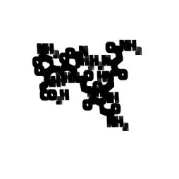 NC(=O)C[C@H](NC(=O)CNC(=O)[C@@H](N)CC(N)=O)C(=O)NCC(=O)N[C@@H](CC(N)=O)C(=O)N[C@@H](CC(N)=O)C(=O)NCC(=O)O